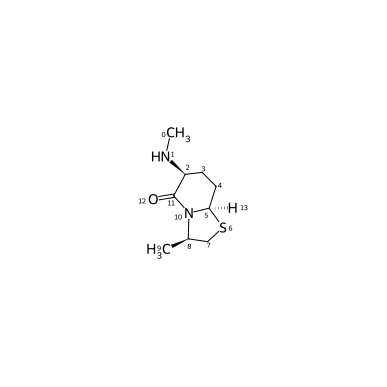 CN[C@H]1CC[C@H]2SC[C@@H](C)N2C1=O